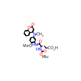 COc1ccc(N(C)c2cc(=O)oc3ccccc23)cc1NC(=O)[C@H](CCC(=O)O)NC(=O)OC(C)(C)C